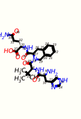 CC(C)(C)[C@H](NC(=O)C(N)Cc1c[nH]cn1)C(=O)N1Cc2ccccc2CC1C(=O)N[C@@H](CCC(N)=O)C(=O)O